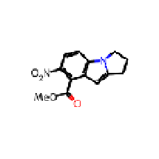 COC(=O)c1c([N+](=O)[O-])ccc2c1cc1n2CCC1